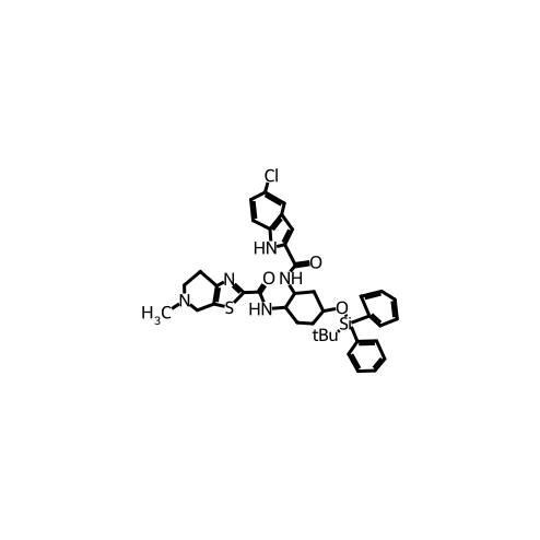 CN1CCc2nc(C(=O)NC3CCC(O[Si](c4ccccc4)(c4ccccc4)C(C)(C)C)CC3NC(=O)c3cc4cc(Cl)ccc4[nH]3)sc2C1